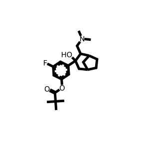 CN(C)CC1C2CCC(C2)CC1(O)c1cc(F)cc(OC(=O)C(C)(C)C)c1